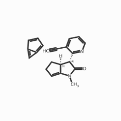 C#Cc1cccnc1[C@@H]1C(=O)N(C)C2=CCC[C@H]21.c1cc2cc-2c1